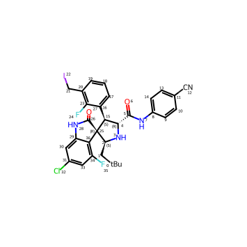 CC(C)(C)C[C@@H]1N[C@@H](C(=O)Nc2ccc(C#N)cc2)[C@H](c2cccc(CI)c2F)[C@]12C(=O)Nc1cc(Cl)cc(F)c12